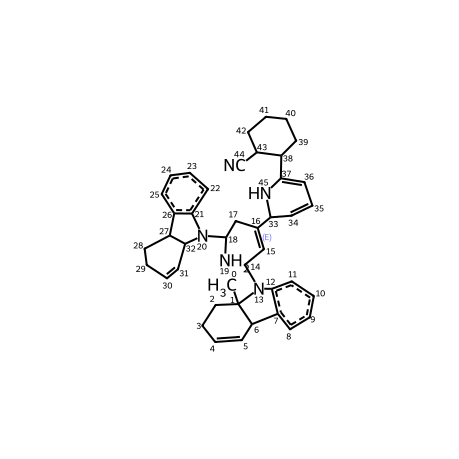 CC12CCC=CC1c1ccccc1N2C/C=C(\CC(N)N1c2ccccc2C2CCC=CC21)C1C=CC=C(C2CCCCC2C#N)N1